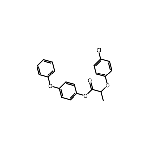 CC(Oc1ccc(Cl)cc1)C(=O)Oc1ccc(Oc2ccccc2)cc1